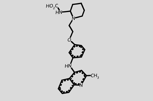 Cc1cc(Nc2cccc(OCCN3CCCCC3NC(=O)O)c2)c2ccccc2n1